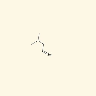 CC(C)C[CH]=[Sn]